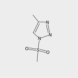 Cc1cn(S(C)(=O)=O)nn1